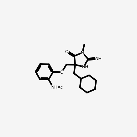 CC(=O)Nc1ccccc1OCC1(CC2CCCCC2)NC(=N)N(C)C1=O